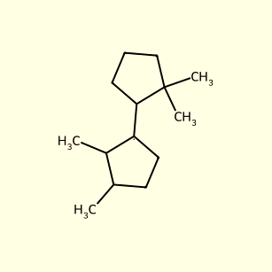 CC1CC[C](C2CCCC2(C)C)C1C